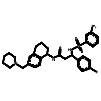 O=C(CC(NS(=O)(=O)c1cccc(C(F)(F)F)c1)c1ccc(F)cc1)NC1CCCc2cc(CN3CCCCC3)ccc21